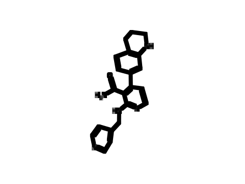 NC(=O)c1c(-c2ccc3c(c2)NCCC3)ccnc1NCc1ccncc1